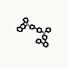 c1ccc(-c2ccccc2-c2ccc(N(c3ccccc3)c3ccc(-c4ccc(-n5c6ccccc6c6cc7ccccc7cc65)cc4)cc3)cc2)cc1